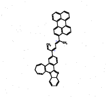 C=C/C(=C\C=C(/C)c1ccc2c3cccc4cccc(c5cccc1c52)c43)c1ccc2c(c1)C1=C(C=CCC=C1)N1C2=NC2C=CC=CC21